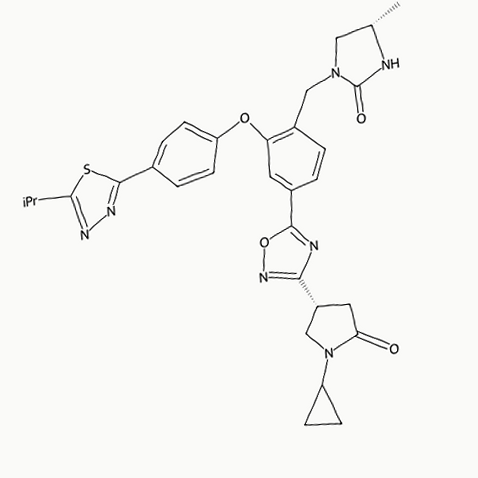 CC(C)c1nnc(-c2ccc(Oc3cc(-c4nc([C@@H]5CC(=O)N(C6CC6)C5)no4)ccc3CN3C[C@H](C)NC3=O)cc2)s1